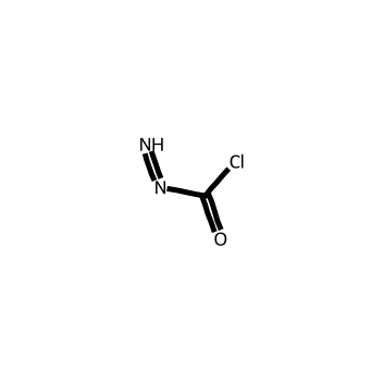 N=NC(=O)Cl